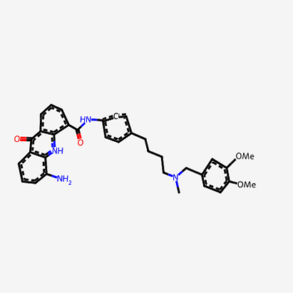 COc1ccc(CN(C)CCCCc2ccc(NC(=O)c3cccc4c(=O)c5cccc(N)c5[nH]c34)cc2)cc1OC